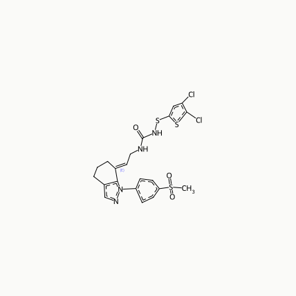 CS(=O)(=O)c1ccc(-n2ncc3c2/C(=C/CNC(=O)NSc2cc(Cl)c(Cl)s2)CCC3)cc1